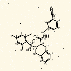 Cc1cc(C)c(S(=O)(=O)N2Cc3ccccc3CC2C(=O)NCc2cccc(C#N)c2)c(C)c1